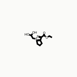 CCOC(=O)c1nn(CC(O)O)c2c1CCC2